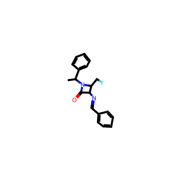 CC(c1ccccc1)N1C(=O)C(N=Cc2ccccc2)C1CF